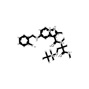 COC(=O)C(C)(CO[Si](C)(C)C(C)(C)C)N(C)C(=O)c1c(C)nn2ccc(OCc3ccccc3F)cc12